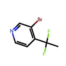 CC(F)(F)c1ccncc1Br